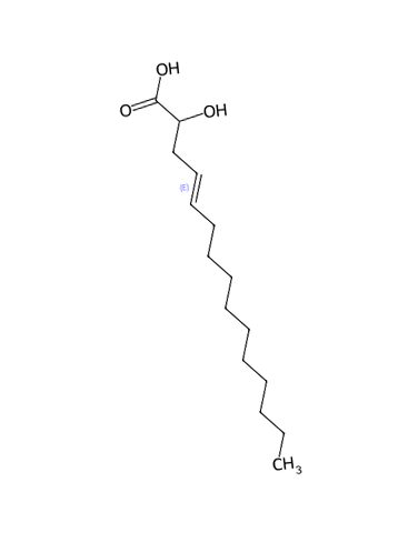 CCCCCCCCCC/C=C/CC(O)C(=O)O